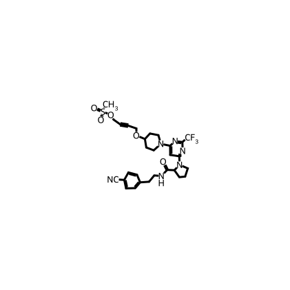 CS(=O)(=O)OCC#CCOC1CCN(c2cc(N3CCCC3C(=O)NCCc3ccc(C#N)cc3)nc(C(F)(F)F)n2)CC1